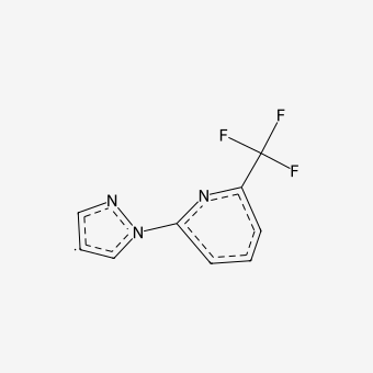 FC(F)(F)c1cccc(-n2c[c]cn2)n1